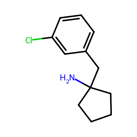 NC1(Cc2cccc(Cl)c2)CCCC1